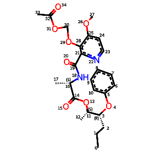 CCC[C@@H](Oc1ccccc1)[C@H](C)OC(=O)[C@H](C)NC(=O)c1nccc(OC)c1OCOC(C)=O